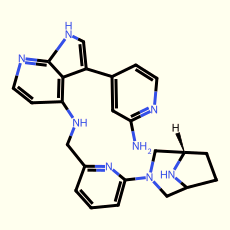 Nc1cc(-c2c[nH]c3nccc(NCc4cccc(N5CC6CC[C@@H](C5)N6)n4)c23)ccn1